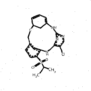 CC(C)S(=O)(=O)c1ccc2cc1Nc1nc(ncc1Cl)NC1=CC=CC(CC2)C1